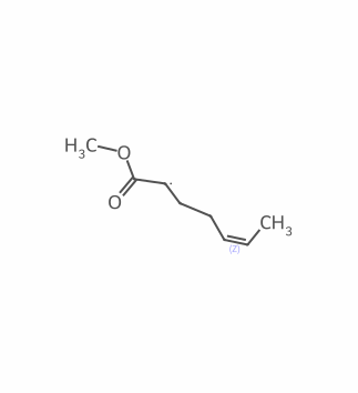 C/C=C\CC[CH]C(=O)OC